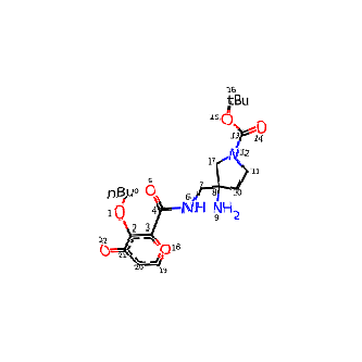 CCCCOc1c(C(=O)NCC2(N)CCN(C(=O)OC(C)(C)C)C2)occc1=O